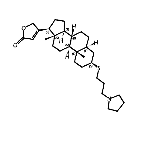 C[C@]12CC[C@H](SCCCN3CCCC3)C[C@@H]1CC[C@@H]1[C@@H]2CC[C@]2(C)[C@@H](C3=CC(=O)OC3)CC[C@@H]12